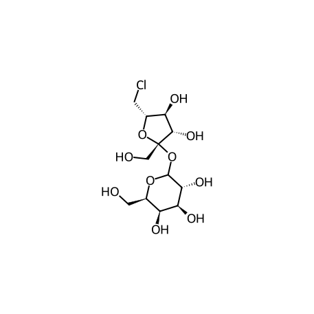 OC[C@H]1OC(O[C@]2(CO)O[C@H](CCl)[C@@H](O)[C@@H]2O)[C@H](O)[C@@H](O)[C@H]1O